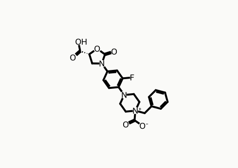 O=C(O)[C@H]1CN(c2ccc(N3CC[N+](Cc4ccccc4)(C(=O)[O-])CC3)c(F)c2)C(=O)O1